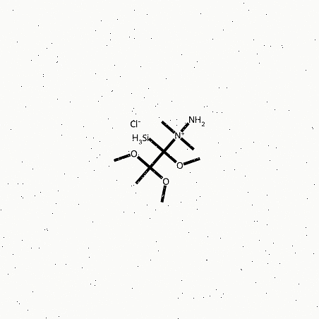 COC(C)(OC)C([SiH3])(OC)[N+](C)(C)N.[Cl-]